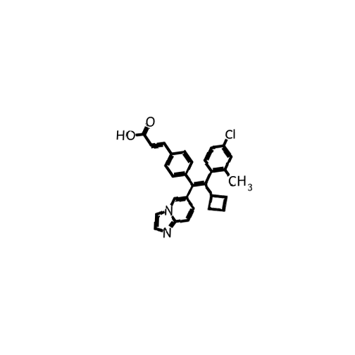 Cc1cc(Cl)ccc1/C(=C(\c1ccc(/C=C/C(=O)O)cc1)c1ccc2nccn2c1)C1CCC1